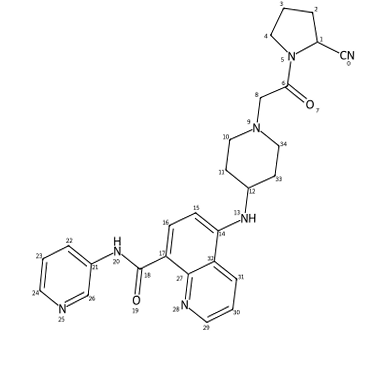 N#CC1CCCN1C(=O)CN1CCC(Nc2ccc(C(=O)Nc3cccnc3)c3ncccc23)CC1